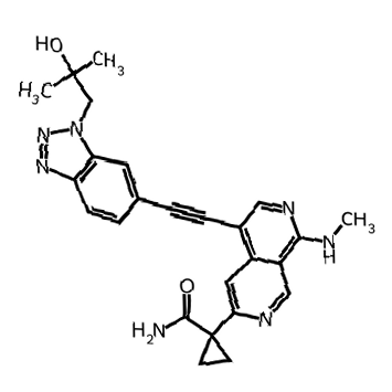 CNc1ncc(C#Cc2ccc3nnn(CC(C)(C)O)c3c2)c2cc(C3(C(N)=O)CC3)ncc12